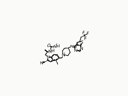 C=C(Cn1c(C#N)cc2c(C)c(CN3CCC(Nc4ncnc5sc(CC(F)(F)F)cc45)CC3)ccc21)NC(=O)NC